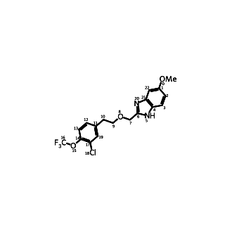 COc1ccc2[nH]c(COCCc3ccc(OC(F)(F)F)c(Cl)c3)nc2c1